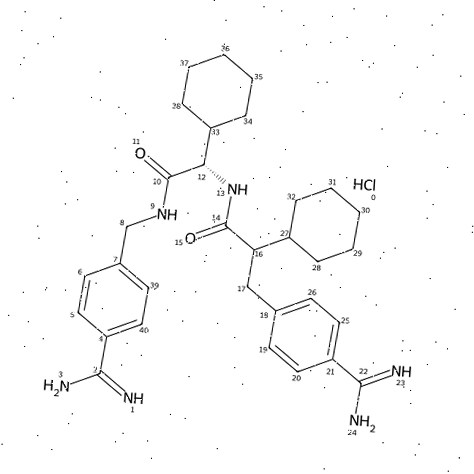 Cl.N=C(N)c1ccc(CNC(=O)[C@@H](NC(=O)C(Cc2ccc(C(=N)N)cc2)C2CCCCC2)C2CCCCC2)cc1